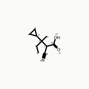 CCC(C)(C1CC1)C(C#N)C(=O)O